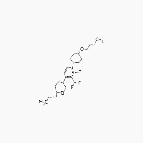 CCCCOC1CCC(c2ccc(C3CCC(CCC)OC3)c(C(F)F)c2F)CC1